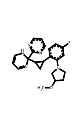 COC1CCN(c2cc(F)ccc2C2CC2C2(c3ncccn3)N=CC=CN2)C1